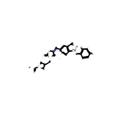 CC(C)(C)OC(=O)N1CC(CN2C(=O)S/C(=C/c3ccc4c(cnn4Cc4ccc(Cl)cc4C(F)(F)F)c3)C2=O)C1